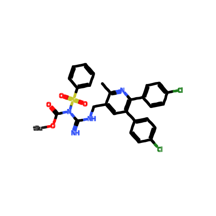 Cc1nc(-c2ccc(Cl)cc2)c(-c2ccc(Cl)cc2)cc1CNC(=N)N(C(=O)OC(C)(C)C)S(=O)(=O)c1ccccc1